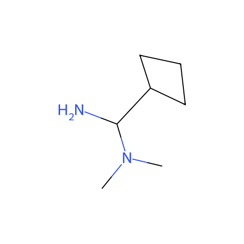 CN(C)C(N)C1CCC1